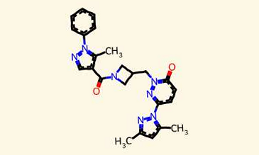 Cc1cc(C)n(-c2ccc(=O)n(CC3CN(C(=O)c4cnn(-c5ccccc5)c4C)C3)n2)n1